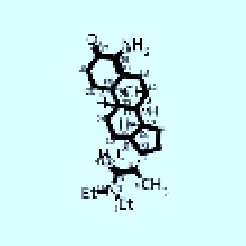 CCN(CC)C(=O)C(C)[C@H]1CC[C@H]2[C@@H]3CCC4=C(N)C(=O)CC[C@]4(C)[C@H]3CC[C@]12C